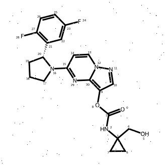 O=C(NC1(CO)CC1)Oc1cnn2ccc(N3CCC[C@@H]3c3cc(F)ccc3F)nc12